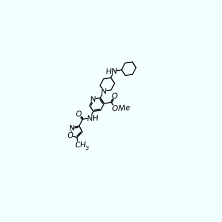 COC(=O)c1cc(NC(=O)c2cc(C)on2)cnc1N1CCC(NC2CCCCC2)CC1